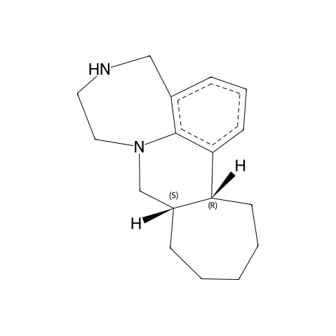 c1cc2c3c(c1)[C@@H]1CCCCC[C@@H]1CN3CCNC2